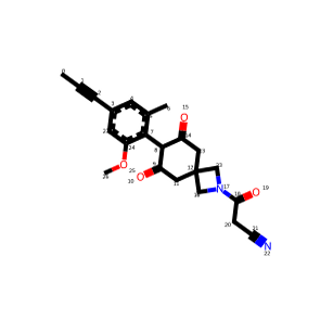 CC#Cc1cc(C)c(C2C(=O)CC3(CC2=O)CN(C(=O)CC#N)C3)c(OC)c1